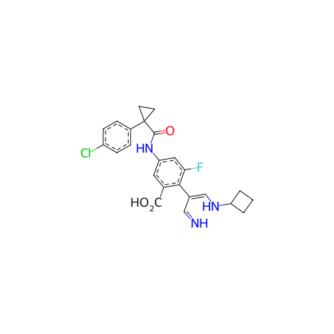 N=C/C(=C\NC1CCC1)c1c(F)cc(NC(=O)C2(c3ccc(Cl)cc3)CC2)cc1C(=O)O